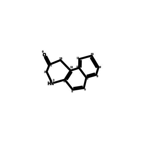 O=C1CNc2ccc3ccccc3c2C1